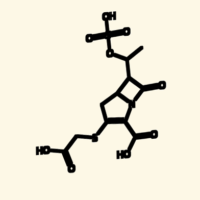 CC(OS(=O)(=O)O)C1C(=O)N2C(C(=O)O)=C(SCC(=O)O)CC12